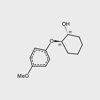 COc1ccc(O[C@@H]2CCCC[C@H]2O)cc1